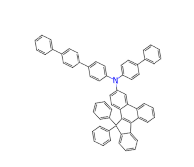 c1ccc(-c2ccc(-c3ccc(N(c4ccc(-c5ccccc5)cc4)c4ccc5c6c(c7ccccc7c5c4)-c4ccccc4C6(c4ccccc4)c4ccccc4)cc3)cc2)cc1